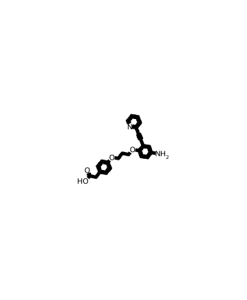 Nc1ccc(OCCCOc2ccc(CC(=O)O)cc2)c(C#Cc2ccccn2)c1